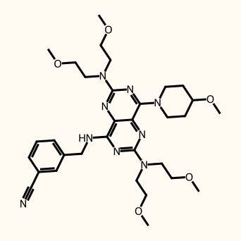 COCCN(CCOC)c1nc(N2CCC(OC)CC2)c2nc(N(CCOC)CCOC)nc(NCc3cccc(C#N)c3)c2n1